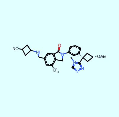 CO[C@H]1C[C@](c2cccc(N3Cc4c(cc(CNC5CC(C#N)C5)cc4C(F)(F)F)C3=O)c2)(c2nncn2C)C1